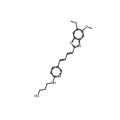 COc1cc2nc(C=CC=Cc3ccc(NCCCO)nc3)sc2cc1OC